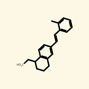 Cc1ccccc1/C=C/c1ccc2c(c1)CCCC2CC(=O)O